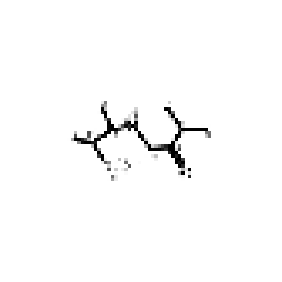 CC(C)C(=O)[C@H](C)NC(C)C(C)N